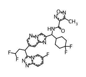 Cc1nonc1C(=O)NC(c1cn2ncc(C(CC(F)F)c3nnc4ccc(F)cn34)cc2n1)C1CCC(F)(F)CC1